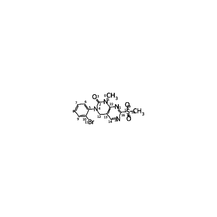 CN1C(=O)N(c2ccccc2Br)Cc2cnc(S(C)(=O)=O)nc21